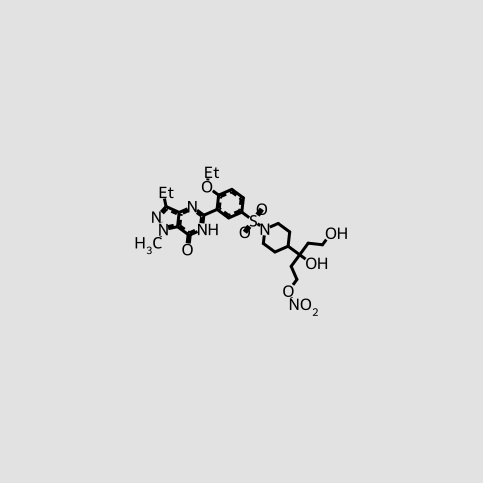 CCOc1ccc(S(=O)(=O)N2CCC(C(O)(CCO)CCO[N+](=O)[O-])CC2)cc1-c1nc2c(CC)nn(C)c2c(=O)[nH]1